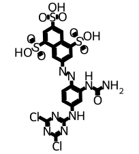 NC(=O)Nc1cc(Nc2nc(Cl)nc(Cl)n2)ccc1/N=N/c1cc(S(=O)(=O)O)c2cc(S(=O)(=O)O)cc(S(=O)(=O)O)c2c1